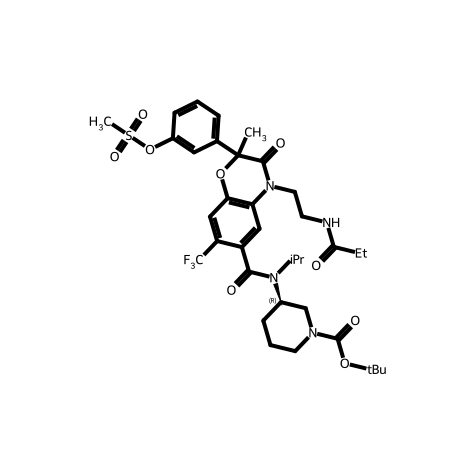 CCC(=O)NCCN1C(=O)C(C)(c2cccc(OS(C)(=O)=O)c2)Oc2cc(C(F)(F)F)c(C(=O)N(C(C)C)[C@@H]3CCCN(C(=O)OC(C)(C)C)C3)cc21